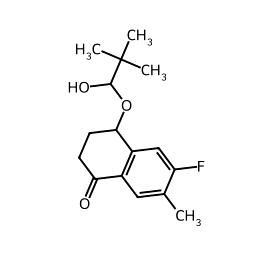 Cc1cc2c(cc1F)C(OC(O)C(C)(C)C)CCC2=O